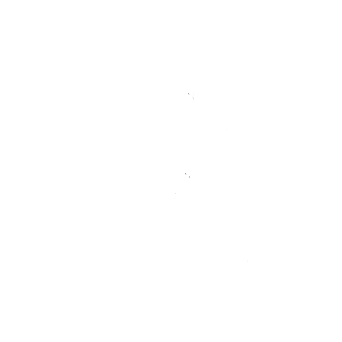 O=C(c1cccc(C(F)(F)F)c1)N1CCc2c([nH]c3c2=CCCC=3)C1c1ccc(Cl)cc1